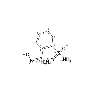 N/C(=N/O)c1ccccc1S(N)(=O)=O